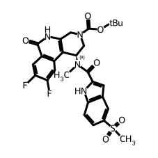 CN(C(=O)c1cc2cc(S(C)(=O)=O)ccc2[nH]1)[C@H]1CN(C(=O)OC(C)(C)C)Cc2[nH]c(=O)c3cc(F)c(F)cc3c21